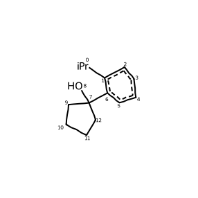 CC(C)c1ccccc1C1(O)CCCC1